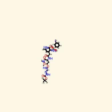 CON(C)C(=O)C(CCONC=NNC(=O)OC(C)(C)C)NC(=O)Cc1cc(C)[nH]c(=O)c1NS(=O)(=O)c1cccc(I)c1